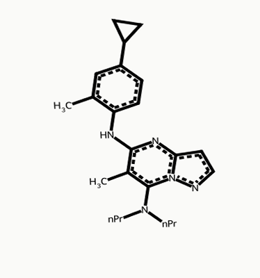 CCCN(CCC)c1c(C)c(Nc2ccc(C3CC3)cc2C)nc2ccnn12